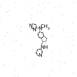 CN(c1ccc2c(c1)CC[C@H]2CNc1cccnc1)c1ccncn1